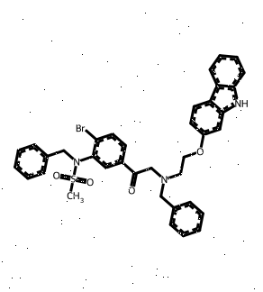 CS(=O)(=O)N(Cc1ccccc1)c1cc(C(=O)CN(CCOc2ccc3c(c2)[nH]c2ccccc23)Cc2ccccc2)ccc1Br